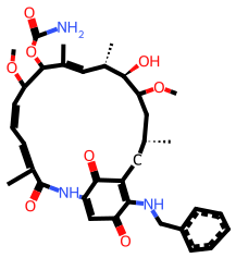 COC1/C=C\C=C(/C)C(=O)NC2=CC(=O)C(NCc3ccccc3)=C(C[C@@H](C)CC(OC)[C@H](O)[C@@H](C)/C=C(\C)C1OC(N)=O)C2=O